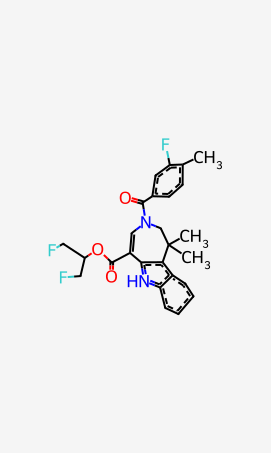 Cc1ccc(C(=O)N2C=C(C(=O)OC(CF)CF)c3[nH]c4ccccc4c3C(C)(C)C2)cc1F